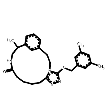 Cc1cc(C)cc(CSc2nnc3n2CCc2cccc(c2)C(C)CNC(=O)CCCC3)c1